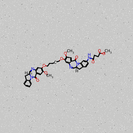 COC(=O)CCC(=O)Nc1ccc2c(c1)N1C(=O)c3cc(OC)c(OCCCCCOc4cc5c(cc4OC)C(=O)N4c6ccccc6C[C@H]4C=N5)cc3N=C[C@@H]1C2